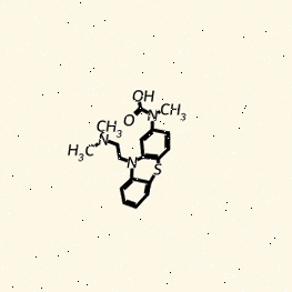 CN(C)CCN1c2ccccc2Sc2ccc(N(C)C(=O)O)cc21